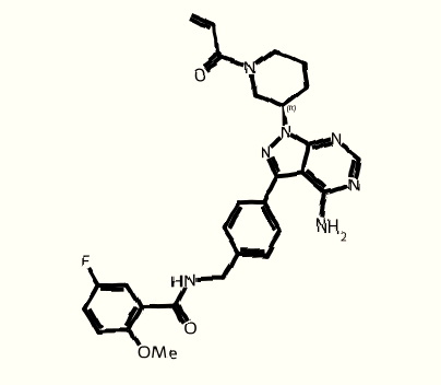 C=CC(=O)N1CCC[C@@H](n2nc(-c3ccc(CNC(=O)c4cc(F)ccc4OC)cc3)c3c(N)ncnc32)C1